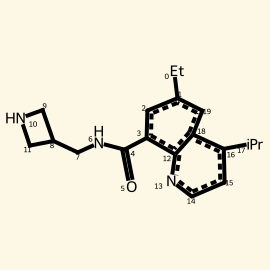 CCc1cc(C(=O)NCC2CNC2)c2nccc(C(C)C)c2c1